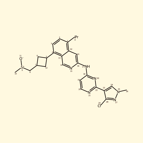 CC(C)c1ccc(C2CC(C[S+](C)[O-])C2)c2cnc(Nc3ccnc(-c4cn(C)nc4Cl)n3)cc12